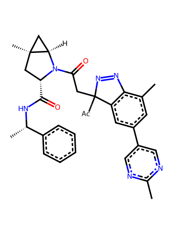 CC(=O)C1(CC(=O)N2[C@H](C(=O)N[C@@H](C)c3ccccc3)C[C@@]3(C)C[C@@H]23)N=Nc2c(C)cc(-c3cnc(C)nc3)cc21